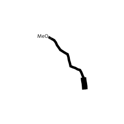 C#CCCCCCO[CH2]